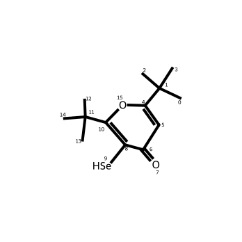 CC(C)(C)c1cc(=O)c([SeH])c(C(C)(C)C)o1